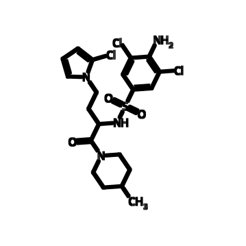 CC1CCN(C(=O)C(CCn2cccc2Cl)NS(=O)(=O)c2cc(Cl)c(N)c(Cl)c2)CC1